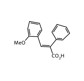 COc1ccccc1/C=C(/C(=O)O)c1ccccc1